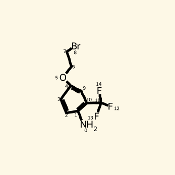 Nc1ccc(OCCBr)cc1C(F)(F)F